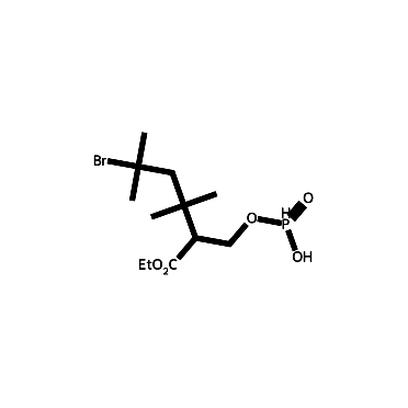 CCOC(=O)C(CO[PH](=O)O)C(C)(C)CC(C)(C)Br